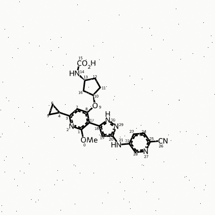 COc1nc(C2CC2)cc(O[C@@H]2CC[C@H](NC(=O)O)C2)c1-c1cc(Nc2ccc(C#N)nc2)n[nH]1